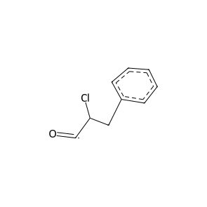 O=[C]C(Cl)Cc1ccccc1